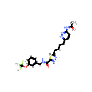 CC(=O)Nc1ccc(CCCCc2nnc(C(=O)NCc3cccc(OC(F)(F)F)c3)s2)nn1